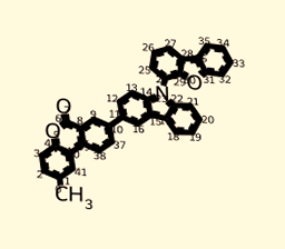 Cc1ccc2oc(=O)c3cc(-c4ccc5c(c4)c4ccccc4n5-c4cccc5c4oc4ccccc45)ccc3c2c1